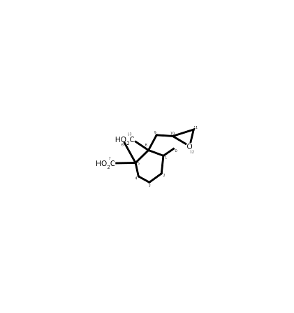 CC1CCCC(C)(C(=O)O)C1(CC1CO1)C(=O)O